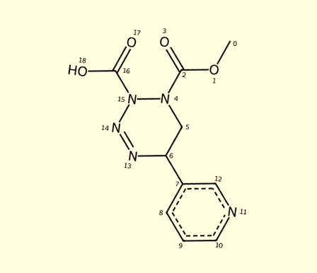 COC(=O)N1CC(c2cccnc2)N=NN1C(=O)O